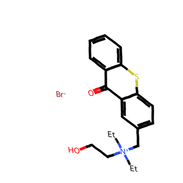 CC[N+](CC)(CCO)Cc1ccc2sc3ccccc3c(=O)c2c1.[Br-]